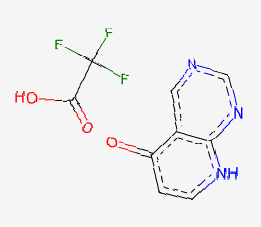 O=C(O)C(F)(F)F.O=c1cc[nH]c2ncncc12